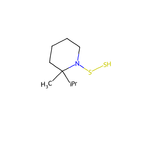 CC(C)C1(C)CCCCN1SS